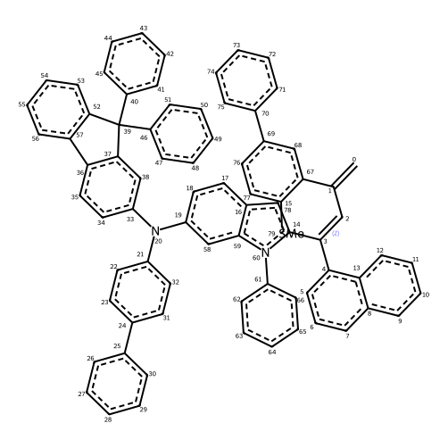 C=C(/C=C(/c1cccc2ccccc12)c1cc2ccc(N(c3ccc(-c4ccccc4)cc3)c3ccc4c(c3)C(c3ccccc3)(c3ccccc3)c3ccccc3-4)cc2n1-c1ccccc1)c1cc(-c2ccccc2)ccc1SC